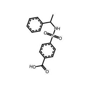 CC(NS(=O)(=O)c1ccc(C(=O)O)cc1)c1ccccc1